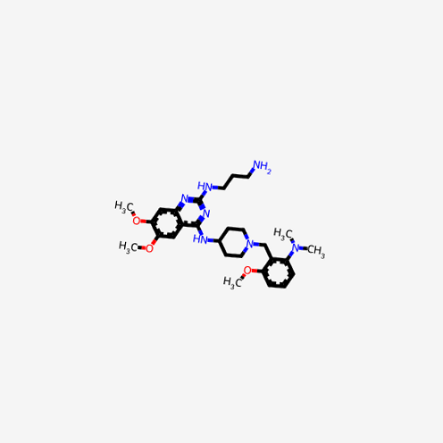 COc1cc2nc(NCCCN)nc(NC3CCN(Cc4c(OC)cccc4N(C)C)CC3)c2cc1OC